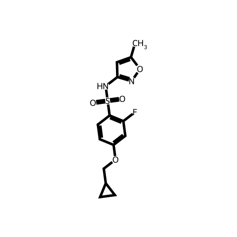 Cc1cc(NS(=O)(=O)c2ccc(OCC3CC3)cc2F)no1